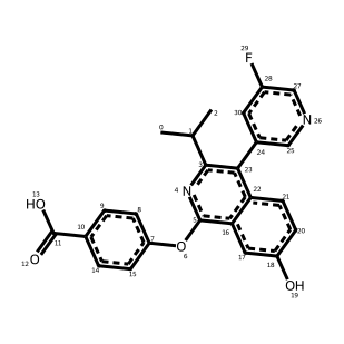 CC(C)c1nc(Oc2ccc(C(=O)O)cc2)c2cc(O)ccc2c1-c1cncc(F)c1